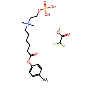 C[N+](C)(CCCCCC(=O)Oc1ccc([N+](=O)[O-])cc1)CCOP(=O)(O)O.O=C(OF)C(F)F